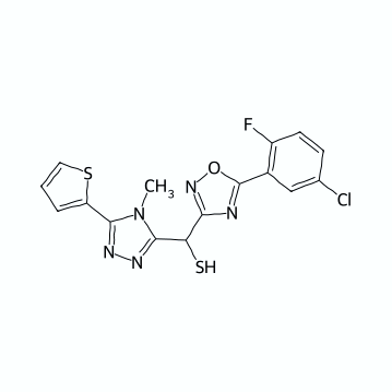 Cn1c(-c2cccs2)nnc1C(S)c1noc(-c2cc(Cl)ccc2F)n1